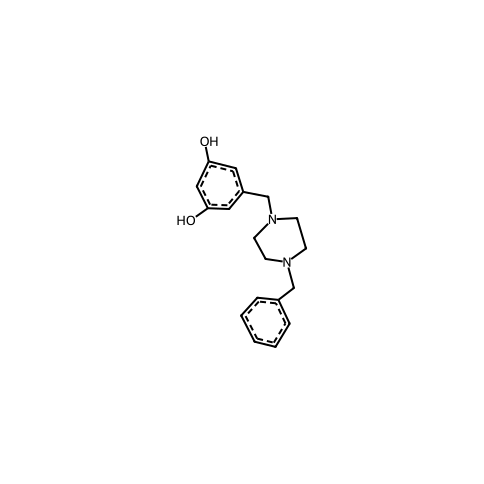 Oc1cc(O)cc(CN2CCN(Cc3ccccc3)CC2)c1